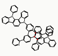 c1ccc(-c2nc(-c3ccccc3)nc(-c3ccc(-n4c5ccccc5c5c4ccc4c6ccccc6n(-c6ccccc6)c45)cc3-c3cc(-c4ccccn4)ccc3-n3c4ccccc4c4c3ccc3c5ccccc5n(-c5ccccc5)c34)n2)cc1